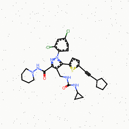 O=C(NCc1c(C(=O)NN2CCCCC2)nn(-c2ccc(Cl)cc2Cl)c1-c1ccc(C#CC2CCCC2)s1)NC1CC1